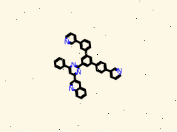 c1ccc(-c2cc(-c3cnc4ccccc4c3)nc(-c3cc(-c4ccc(-c5cccnc5)cc4)cc(-c4cccc(-c5cccnc5)c4)c3)n2)cc1